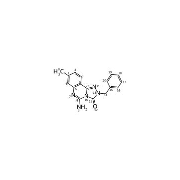 Cc1ccc2c(c1)nc(N)n1c(=O)n(Cc3ccccc3)nc21